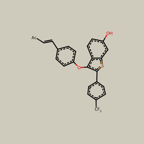 CC(=O)/C=C/c1ccc(Oc2c(-c3ccc(C(F)(F)F)cc3)sc3cc(O)ccc23)cc1